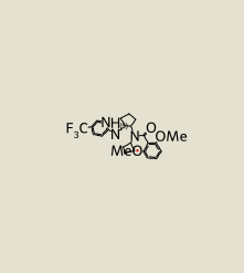 COc1cccc(OC)c1C(=O)N(C1CCC1)C1CCC[C@@H]1Nc1ccc(C(F)(F)F)cn1